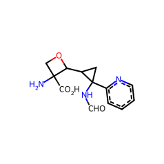 NC1(C(=O)O)COC1C1CC1(NC=O)c1ccccn1